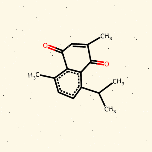 CC1=CC(=O)c2c(C)ccc(C(C)C)c2C1=O